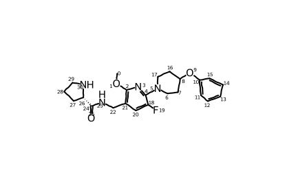 COc1nc(N2CCC(Oc3ccccc3)CC2)c(F)cc1CNC(=O)[C@@H]1CCCN1